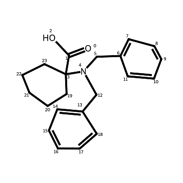 O=C(O)C1(N(Cc2ccccc2)Cc2ccccc2)CCCCC1